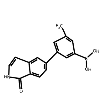 O=c1[nH]ccc2cc(-c3cc(B(O)O)cc(C(F)(F)F)c3)ccc12